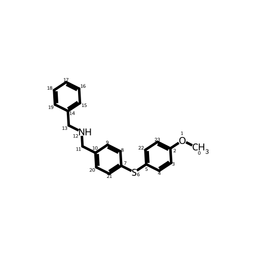 COc1ccc(Sc2ccc(CNCc3ccccc3)cc2)cc1